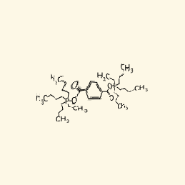 CCCCP(CC)(CCCC)(CCCC)OC(=O)c1ccc(C(=O)OP(CC)(CCCC)(CCCC)CCCC)cc1